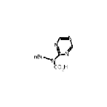 CCCCN(C(=O)O)c1ncncn1